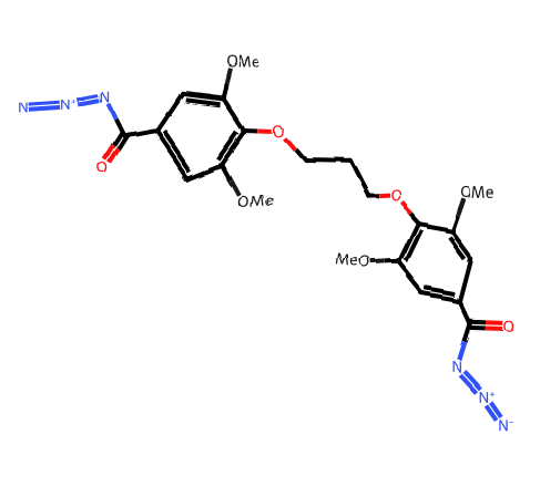 COc1cc(C(=O)N=[N+]=[N-])cc(OC)c1OCCCOc1c(OC)cc(C(=O)N=[N+]=[N-])cc1OC